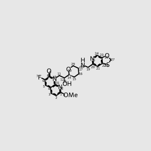 COc1ccc2cc(F)c(=O)n(C[C@H](O)[C@@H]3CC[C@@H](NCc4cc5c(cn4)OCS5)CO3)c2n1